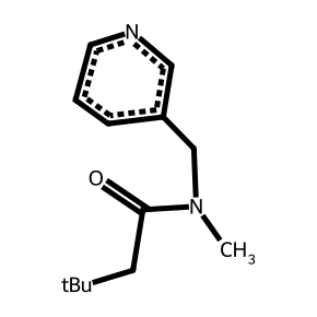 CN(Cc1cccnc1)C(=O)CC(C)(C)C